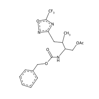 CC(=O)OCC(NC(=O)OCc1ccccc1)C(C)Cc1noc(C(F)(F)F)n1